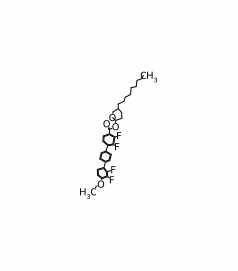 CCCCCCCCCC1CCC(OC(=O)c2ccc(-c3ccc(-c4ccc(OCC)c(F)c4F)cc3)c(F)c2F)OC1